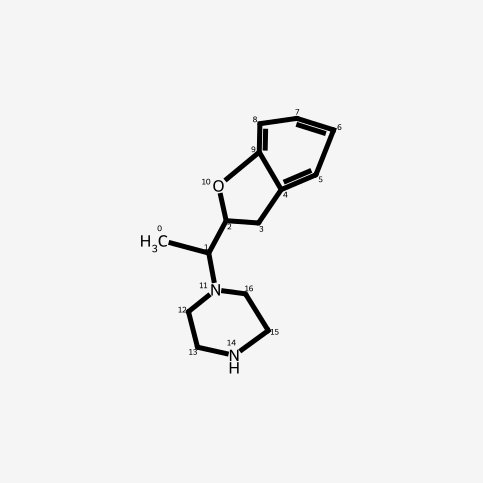 CC(C1Cc2ccccc2O1)N1CCNCC1